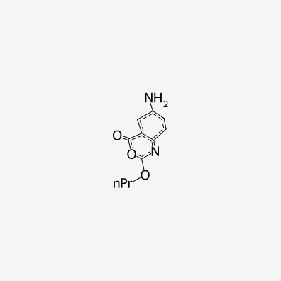 CCCOc1nc2ccc(N)cc2c(=O)o1